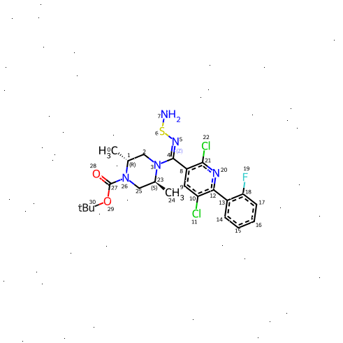 C[C@@H]1CN(/C(=N\SN)c2cc(Cl)c(-c3ccccc3F)nc2Cl)[C@@H](C)CN1C(=O)OC(C)(C)C